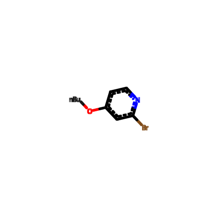 CCCCOc1ccnc(Br)c1